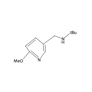 COc1ccc(CNC(C)(C)C)cn1